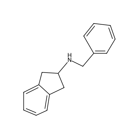 c1ccc(CNC2Cc3ccccc3C2)cc1